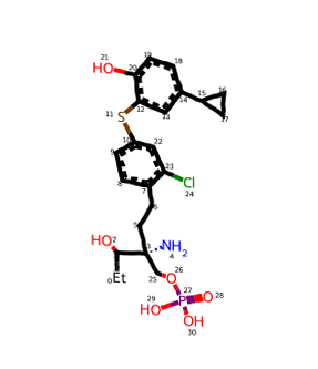 CCC(O)[C@@](N)(CCc1ccc(Sc2cc(C3CC3)ccc2O)cc1Cl)COP(=O)(O)O